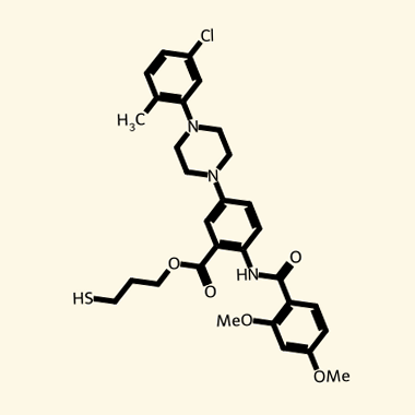 COc1ccc(C(=O)Nc2ccc(N3CCN(c4cc(Cl)ccc4C)CC3)cc2C(=O)OCCCS)c(OC)c1